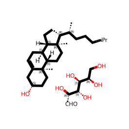 CC(C)CCC[C@@H](C)[C@H]1CC[C@H]2[C@@H]3CC=C4C[C@@H](O)CC[C@]4(C)[C@H]3CC[C@]12C.O=C[C@H](O)[C@@H](O)[C@@H](O)[C@H](O)CO